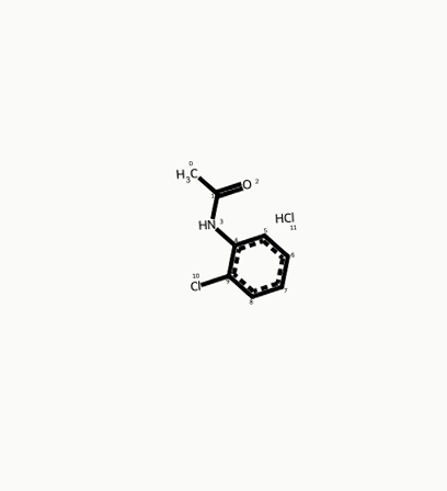 CC(=O)Nc1ccccc1Cl.Cl